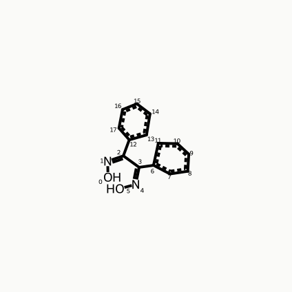 O/N=C(\C(=N/O)c1ccccc1)c1ccccc1